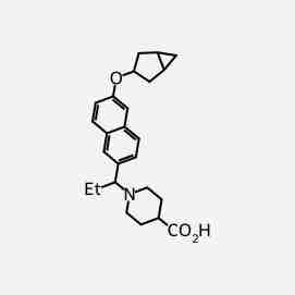 CCC(c1ccc2cc(OC3CC4CC4C3)ccc2c1)N1CCC(C(=O)O)CC1